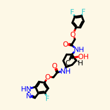 O=C(COc1cc(F)c2cn[nH]c2c1)NC12CCC(NC(=O)COc3ccc(F)c(F)c3)(CC1)[C@@H](O)C2